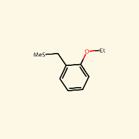 CCOc1ccccc1CSC